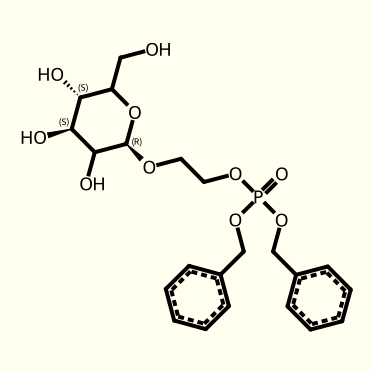 O=P(OCCO[C@@H]1OC(CO)[C@@H](O)[C@H](O)C1O)(OCc1ccccc1)OCc1ccccc1